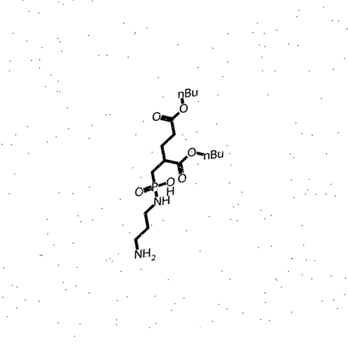 CCCCOC(=O)CCC(CP(=O)(O)NCCCN)C(=O)OCCCC